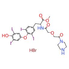 Br.COC(=O)C(Cc1cc(I)c(Oc2cc(I)c(O)c(I)c2)c(I)c1)NC(=O)COCC(=O)N1CCNCC1